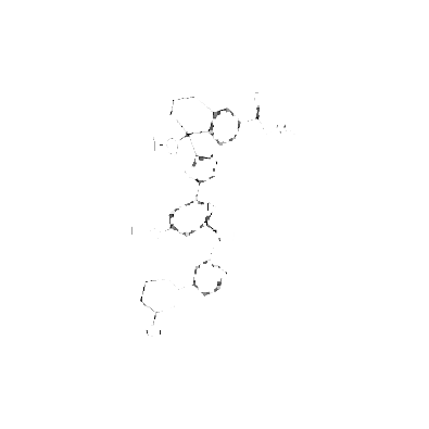 COC(=O)c1ccc2c(c1)CCCC2(O)c1ncc(-c2cc(C)cc(Nc3cc(C4CCCC(C)C4)ccn3)n2)s1